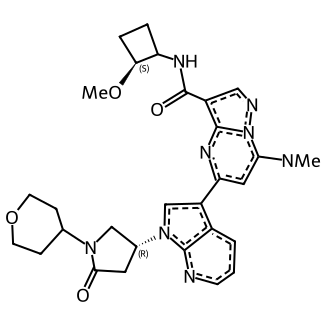 CNc1cc(-c2cn([C@@H]3CC(=O)N(C4CCOCC4)C3)c3ncccc23)nc2c(C(=O)NC3CC[C@@H]3OC)cnn12